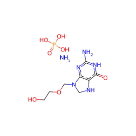 N.Nc1nc2c(c(=O)[nH]1)NCN2COCCO.O=P(O)(O)O